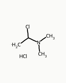 Cl.[CH2]C(Cl)N(C)C